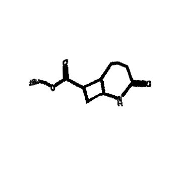 CC(C)(C)OC(=O)C1CC2NC(=O)CCC21